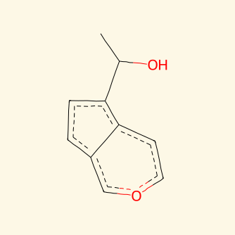 CC(O)c1ccc2coccc1-2